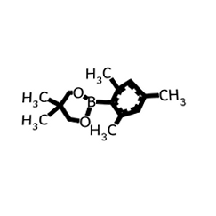 Cc1cc(C)c(B2OCC(C)(C)CO2)c(C)c1